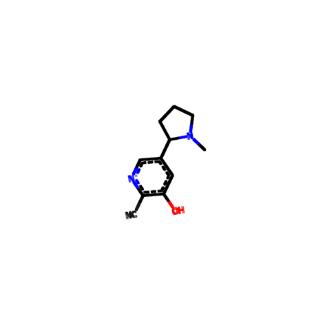 CN1CCCC1c1cnc(C#N)c(O)c1